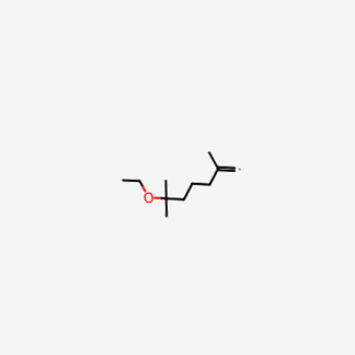 [CH]=C(C)CCCC(C)(C)OCC